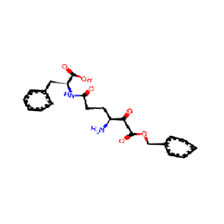 N[C@@H](CCC(=O)N[C@@H](Cc1ccccc1)C(=O)O)C(=O)C(=O)OCc1ccccc1